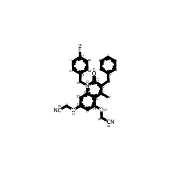 Cc1c(Cc2ccccc2)c(=O)n(Cc2ccc(F)cc2)c2cc(OCC#N)cc(OCC#N)c12